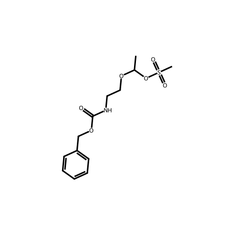 CC(OCCNC(=O)OCc1ccccc1)OS(C)(=O)=O